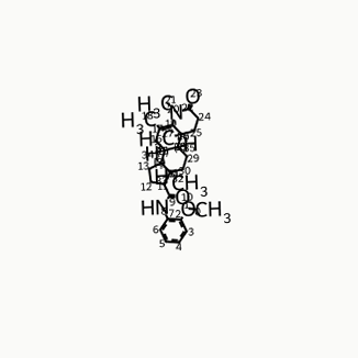 COc1ccccc1NC(=O)C1CC[C@H]2[C@@H]3CC(C)=C4N(C)C(=O)CC[C@]4(C)[C@@H]3CC[C@]12C